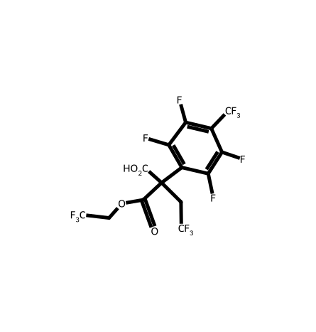 O=C(O)C(CC(F)(F)F)(C(=O)OCC(F)(F)F)c1c(F)c(F)c(C(F)(F)F)c(F)c1F